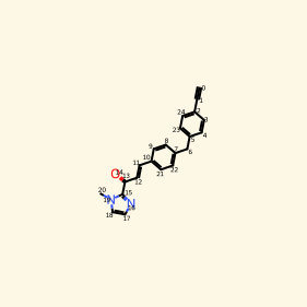 C#Cc1ccc(Cc2ccc(/C=C/C(=O)c3nccn3C)cc2)cc1